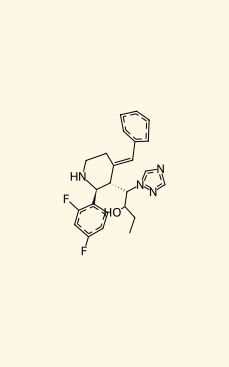 CCC(O)C([C@H]1C(=Cc2ccccc2)CCN[C@@H]1c1ccc(F)cc1F)n1cncn1